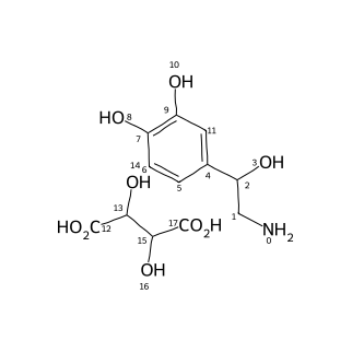 NCC(O)c1ccc(O)c(O)c1.O=C(O)C(O)C(O)C(=O)O